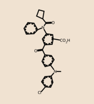 CN(c1ccc(Cl)cc1)c1ccc(C(=O)c2cc(C(=O)O)cc(N(C(=O)C3CCC3)c3ccccc3)c2)cc1